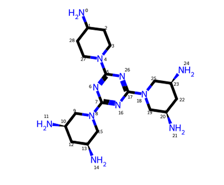 NC1CCN(c2nc(N3C[C@H](N)C[C@H](N)C3)nc(N3C[C@H](N)C[C@H](N)C3)n2)CC1